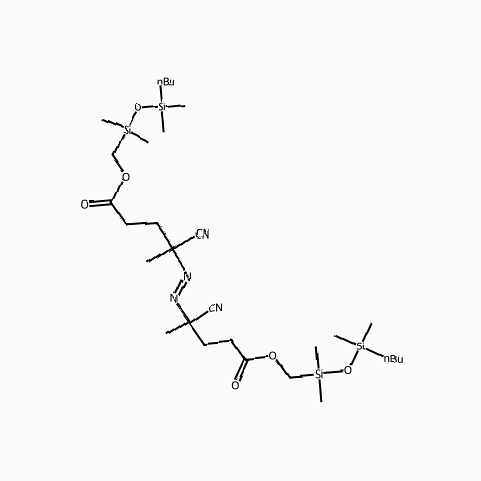 CCCC[Si](C)(C)O[Si](C)(C)COC(=O)CCC(C)(C#N)N=NC(C)(C#N)CCC(=O)OC[Si](C)(C)O[Si](C)(C)CCCC